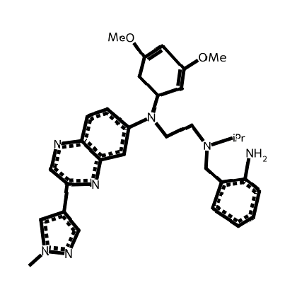 COC1=CC(N(CCN(Cc2ccccc2N)C(C)C)c2ccc3ncc(-c4cnn(C)c4)nc3c2)CC(OC)=C1